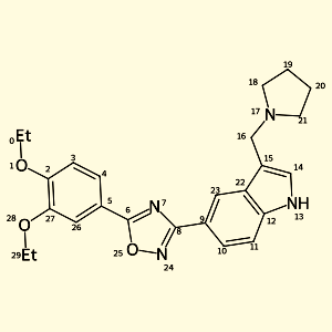 CCOc1ccc(-c2nc(-c3ccc4[nH]cc(CN5CCCC5)c4c3)no2)cc1OCC